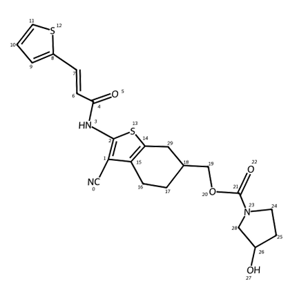 N#Cc1c(NC(=O)C=Cc2cccs2)sc2c1CCC(COC(=O)N1CCC(O)C1)C2